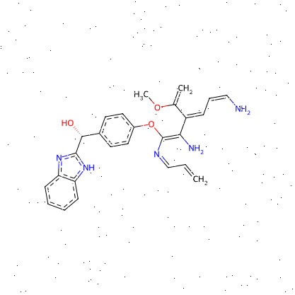 C=C\C=N/C(Oc1ccc([C@@H](O)c2nc3ccccc3[nH]2)cc1)=C(N)/C(=C/C=C\N)C(=C)OC